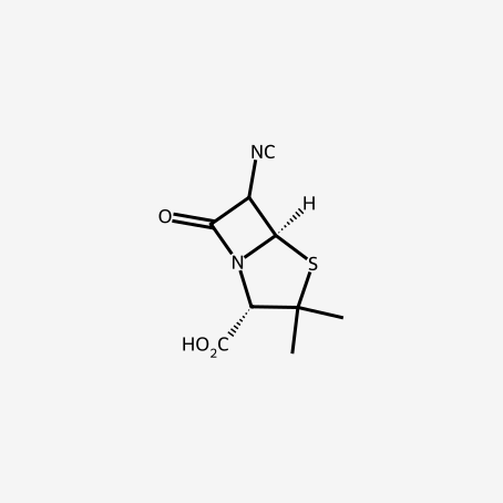 [C-]#[N+]C1C(=O)N2[C@@H]1SC(C)(C)[C@@H]2C(=O)O